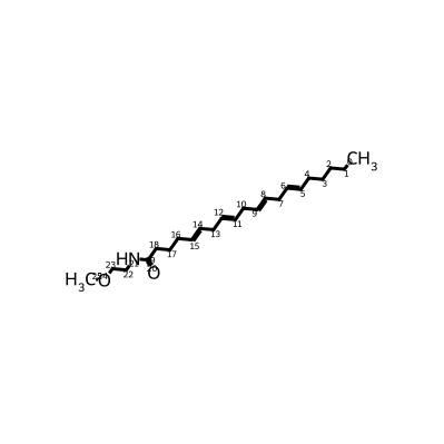 CCCCCC=CCC=CCC=CCC=CCCCC(=O)NCCOC